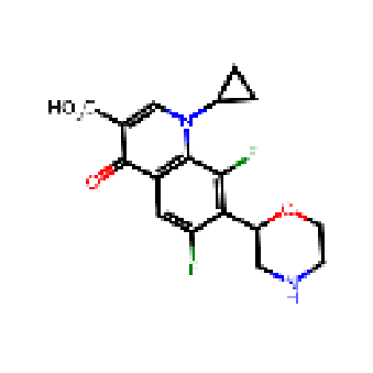 O=C(O)c1cn(C2CC2)c2c(F)c(C3CNCCO3)c(F)cc2c1=O